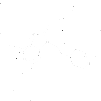 Cc1nc(N)c2[nH]c(=O)n(CCN3CCNCC3)c2n1